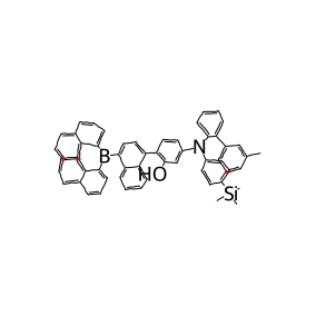 Cc1cccc(-c2ccccc2N(c2ccc([Si](C)(C)C)cc2)c2ccc(-c3ccc(B(c4cccc5ccccc45)c4cccc5ccccc45)c4ccccc34)c(O)c2)c1